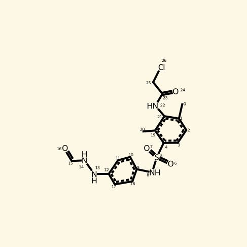 Cc1ccc(S(=O)(=O)Nc2ccc(NNC=O)cc2)c(C)c1NC(=O)CCl